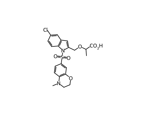 CC(OCc1cc2cc(Cl)ccc2n1S(=O)(=O)c1ccc2c(c1)OCCN2C)C(=O)O